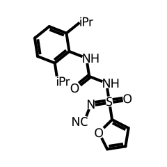 CC(C)c1cccc(C(C)C)c1NC(=O)NS(=O)(=NC#N)c1ccco1